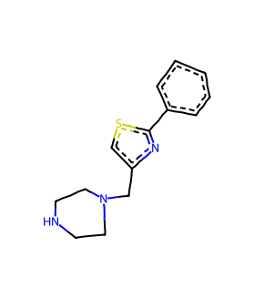 c1ccc(-c2nc(CN3CCNCC3)cs2)cc1